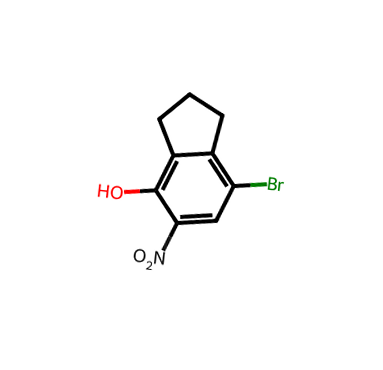 O=[N+]([O-])c1cc(Br)c2c(c1O)CCC2